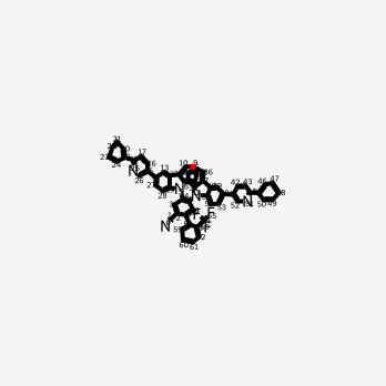 N#Cc1cc(-n2c3ccccc3c3cc(-c4ccc(-c5ccccc5)nc4)ccc32)c(-n2c3ccccc3c3cc(-c4ccc(-c5ccccc5)nc4)ccc32)cc1-c1ccccc1C(F)(F)F